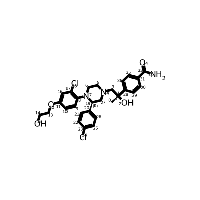 C[C@@](O)(CN1CCN(c2ccc(OCCO)cc2Cl)[C@H](c2ccc(Cl)cc2)C1)c1ccc(C(N)=O)cc1